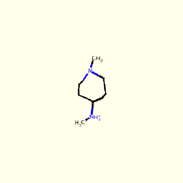 [CH2-][NH2+]C1CCN(C)CC1